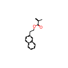 C=C(C)C(=O)OCCc1ccc2ccccc2c1